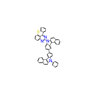 c1ccc(-n2c3ccc(-c4ccc5c(c4)c4c6ccccc6ccc4n5-c4nc5c6c(cccc6n4)Sc4ccccc4-5)cc3c3c4ccccc4ccc32)cc1